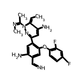 C/C=C1\C(N)=CC(c2cc(N)c(C=N)cc2Oc2ccc(F)cc2F)=NN1/C(C)=N\C